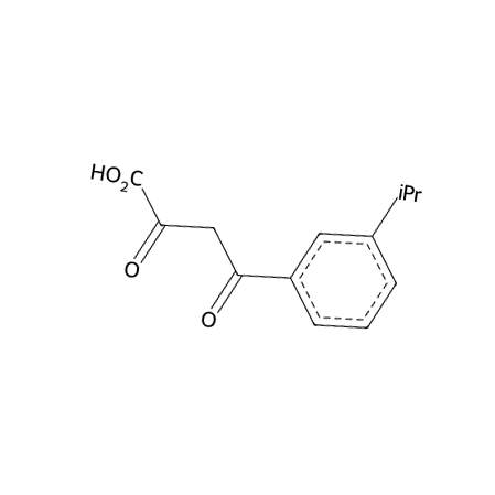 CC(C)c1cccc(C(=O)CC(=O)C(=O)O)c1